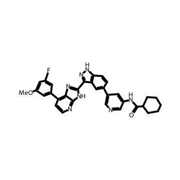 COc1cc(F)cc(-c2ccnc3[nH]c(-c4n[nH]c5ccc(-c6cncc(NC(=O)C7CCCCC7)c6)cc45)nc23)c1